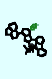 CCC(C)C1=Cc2c(-c3ccc4c5c(cccc35)C=C4)cccc2C1c1cccc2c1[CH]([Zr+2][SiH](C)C)c1ccccc1-2.[Cl-].[Cl-]